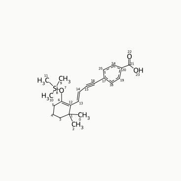 CC1(C)CCCC(O[Si](C)(C)C)=C1/C=C/C#Cc1ccc(C(=O)O)cc1